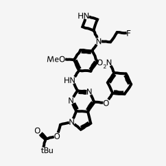 COc1cc(N(CCF)C2CNC2)ccc1Nc1nc(Oc2cccc([N+](=O)[O-])c2)c2ccn(COC(=O)C(C)(C)C)c2n1